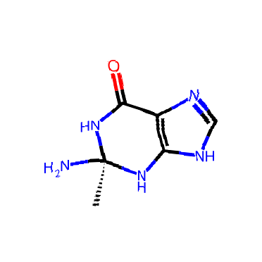 C[C@]1(N)NC(=O)c2nc[nH]c2N1